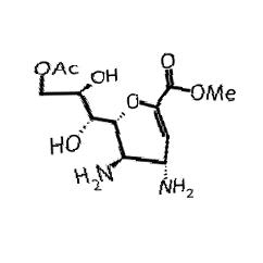 COC(=O)C1=C[C@H](N)[C@@H](N)[C@H]([C@H](O)[C@H](O)COC(C)=O)O1